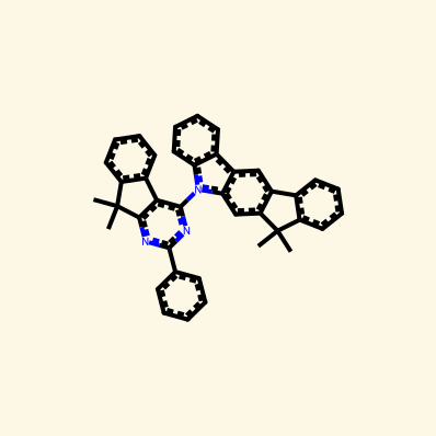 CC1(C)c2ccccc2-c2cc3c4ccccc4n(-c4nc(-c5ccccc5)nc5c4-c4ccccc4C5(C)C)c3cc21